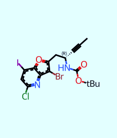 CC#C[C@@H](Cc1oc2c(I)cc(Cl)nc2c1Br)NC(=O)OC(C)(C)C